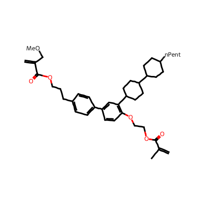 C=C(C)C(=O)OCCOc1ccc(-c2ccc(CCCOC(=O)C(=C)COC)cc2)cc1C1CCC(C2CCC(CCCCC)CC2)CC1